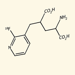 NC(CC(Cc1cccnc1[18F])C(=O)O)C(=O)O